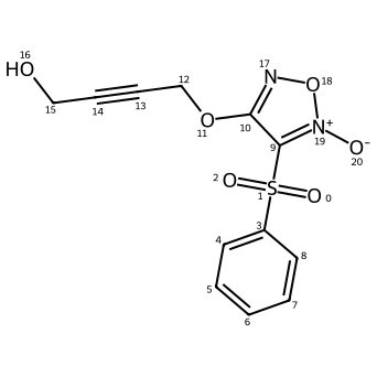 O=S(=O)(c1ccccc1)c1c(OCC#CCO)no[n+]1[O-]